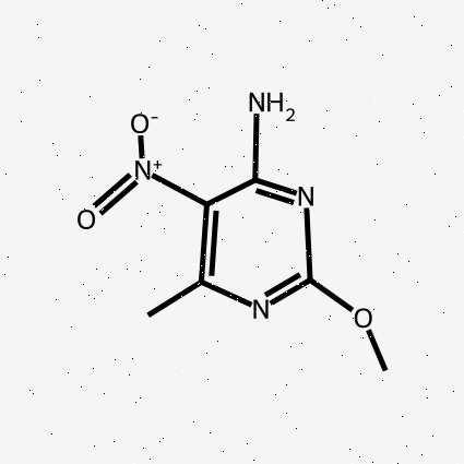 COc1nc(C)c([N+](=O)[O-])c(N)n1